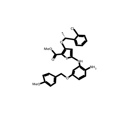 COC(=O)c1sc(Nc2cc(OCc3ccc(OC)cc3)ccc2N)cc1O[C@H](C)c1ccccc1Cl